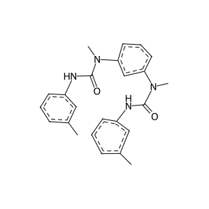 Cc1cccc(NC(=O)N(C)c2cccc(N(C)C(=O)Nc3cccc(C)c3)c2)c1